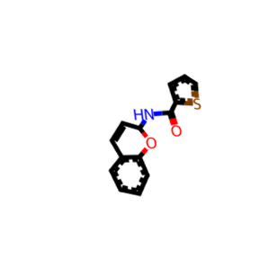 O=C(NC1C=Cc2ccccc2O1)c1cccs1